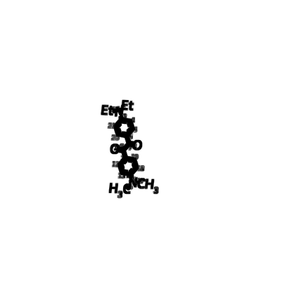 CCN(CC)c1ccc(C(=O)C(=O)c2ccc(N(C)C)cc2)cc1